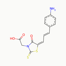 Nc1ccc(C=CC=C2SC(=S)N(CC(=O)O)C2=O)cc1